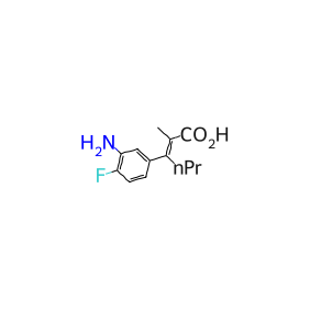 CCCC(=C(C)C(=O)O)c1ccc(F)c(N)c1